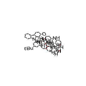 [2H]C([2H])([2H])C([2H])(c1cccc(C([2H])(C([2H])([2H])[2H])C([2H])([2H])[2H])c1Nc1ccccc1Nc1cc(Oc2ccc3c4ccccc4n(-c4cc(C(C)(C)C)ccn4)c3c2)cc(-c2c(C(C)C)cccc2C(C)C)c1)C([2H])([2H])[2H]